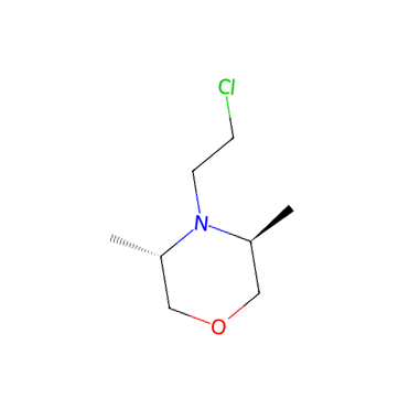 C[C@H]1COC[C@H](C)N1CCCl